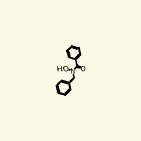 O=C(c1ccccc1)N(O)Cc1ccccc1